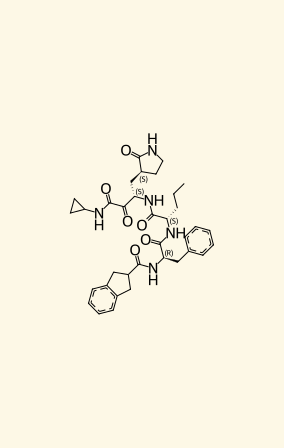 CCC[C@H](NC(=O)[C@@H](Cc1ccccc1)NC(=O)C1Cc2ccccc2C1)C(=O)N[C@@H](C[C@@H]1CCNC1=O)C(=O)C(=O)NC1CC1